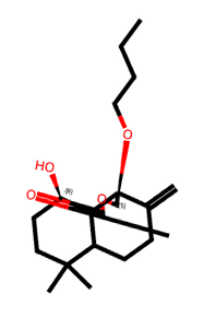 C=C1CCC2C(C)(C)CC[C@@H](O)C23C(=O)O[C@H](OCCCC)C13